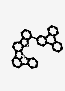 c1cc(-c2ccc3c4ccccc4c4ccccc4c3c2)c2sc3c(ccc4c5cccc6c7ccccc7n(c65)c43)c2c1